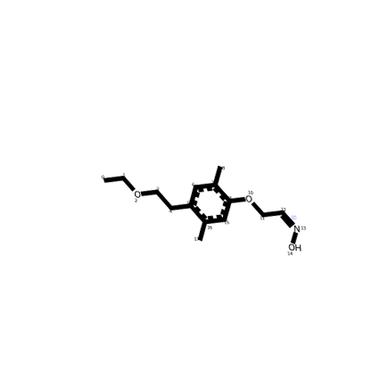 CCOCCc1cc(C)c(OC/C=N\O)cc1C